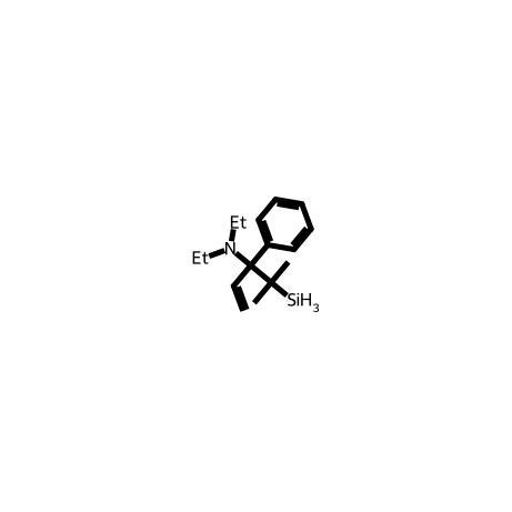 C=CC(c1ccccc1)(N(CC)CC)C(C)(C)[SiH3]